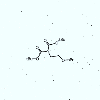 CCCOCCN(C(=O)OC(C)(C)C)C(=O)OC(C)(C)C